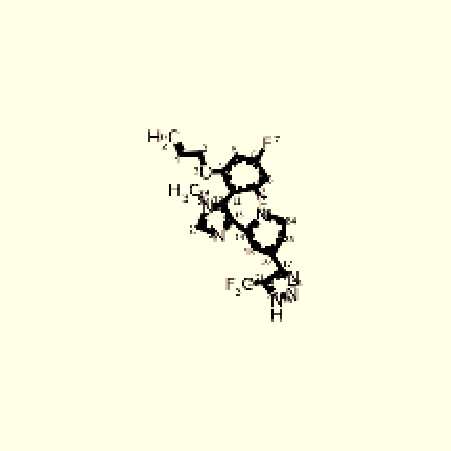 C=CCOc1cc(F)cc(F)c1-c1c(-c2cc(-c3nn[nH]c3C(F)(F)F)ccn2)ncn1C